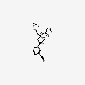 COCCC1(OC(C)=O)CC(c2cccc(C#N)c2)=NO1